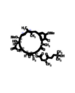 COc1cc2cc(c1Cl)N(C)C(=O)C[C@H](OC(=O)CN(C)C(=O)CC[Si](C)(C)O)[C@]1(C)O[C@H]1C[C@@H]1C[C@@](O)(NC(=O)O1)[C@H](OC)/C=C/C(C)=C(\C)C2